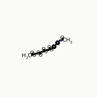 C=CC(=O)OCCOC(=O)CCC(=O)OCCC(=O)Oc1ccc(-c2ccc(/C=C/C(C)=O)cc2)cc1